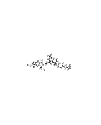 COc1cc(S(N)(=O)=O)ccc1NCC#Cc1cc2c(N[C@H]3CC[C@H](N4CC5(COC5)C4)CC3)cccc2n1CC(F)(F)F